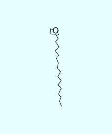 CCCCCCCCCCCCCCCCC[C]1CCO1